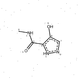 CNC(=O)c1[nH]ncc1O